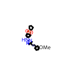 COc1cccc(/C=C/c2cnc(Nc3ccc(S(=O)(=O)C4CCCCC4)cc3)nc2)c1